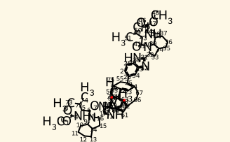 COC(=O)N[C@H](C(=O)N1C2CCCCC2C[C@H]1c1nc2cc(C3=CC4=C(c5ccc6[nH]c([C@@H]7CC8CCCCC8N7C(=O)[C@@H](NC(=O)OC)C(C)C)nc6c5)C[C@@H]3CC[C@@H]3C=CC(=CC3C)CC4)ccc2[nH]1)C(C)C